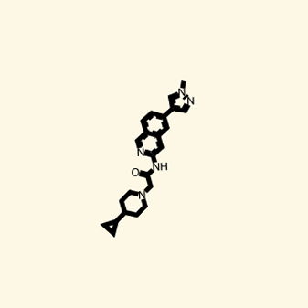 Cn1cc(-c2ccc3cnc(NC(=O)CN4CCC(C5CC5)CC4)cc3c2)cn1